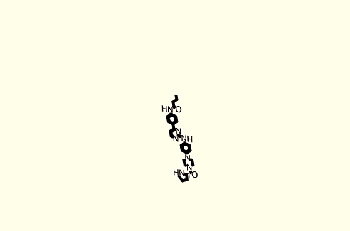 CCCC(=O)Nc1ccc(-c2ccnc(Nc3ccc(N4CCN(C(=O)[C@@H]5CCCN5)CC4)cc3)n2)cc1